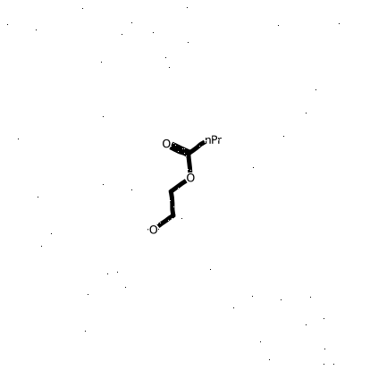 CCCC(=O)OCC[O]